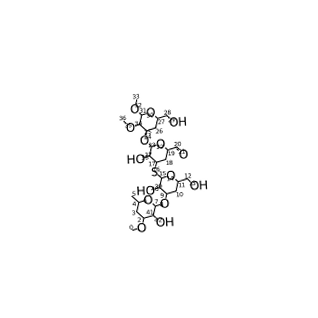 COC1CC(C)OC(OC2CC(CO)OC(SC3CC(C=O)OC(OC4CC(CO)OC(OC)C4OC)C3O)C2O)C1O